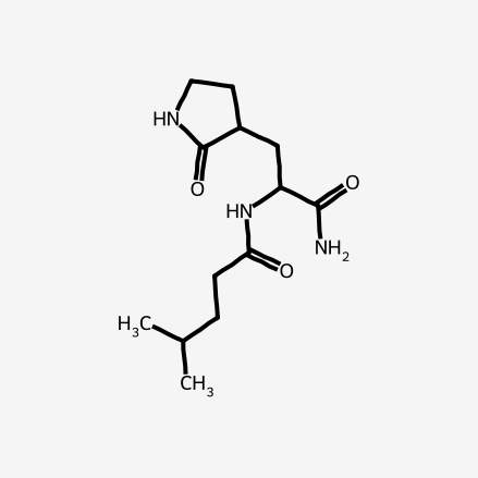 CC(C)CCC(=O)NC(CC1CCNC1=O)C(N)=O